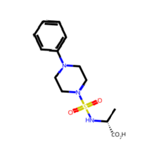 C[C@@H](NS(=O)(=O)N1CCN(c2ccccc2)CC1)C(=O)O